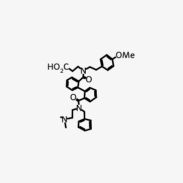 COc1ccc(CCN(CCC(=O)O)C(=O)c2ccccc2-c2ccccc2C(=O)N(CCN(C)C)Cc2ccccc2)cc1